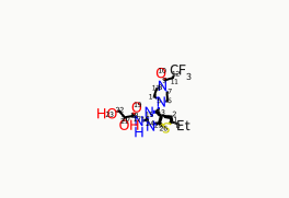 CCc1cc2c(N3CCN(C(=O)CC(F)(F)F)CC3)nc(NC(=O)[C@H](O)CO)nc2s1